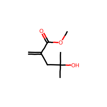 C=C(CC(C)(C)O)C(=O)OC